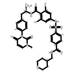 Cn1ccc(=O)n(-c2ccc(C[C@H](NC(=O)c3c(F)cc(NS(=O)(=O)c4ccc(C(=O)NCC5CCOCC5)cc4)cc3F)C(=O)O)cc2)c1=O